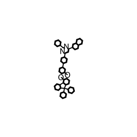 c1ccc(-c2nc(-c3ccc(-c4ccc5c(c4)Oc4ccc6c(c4O5)-c4ccccc4C6(c4ccccc4)c4ccccc4)cc3)cc(-c3ccc4ccccc4c3)n2)cc1